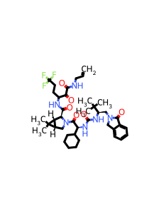 C=CCNC(=O)C(=O)C(CCC(F)(F)F)NC(=O)[C@@H]1[C@@H]2[C@H](CN1C(=O)[C@@H](NC(=O)N[C@H](CN1Cc3ccccc3C1=O)C(C)(C)C)C1CCCCC1)C2(C)C